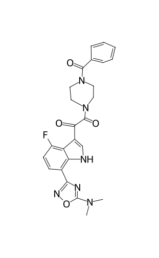 CN(C)c1nc(-c2ccc(F)c3c(C(=O)C(=O)N4CCN(C(=O)c5ccccc5)CC4)c[nH]c23)no1